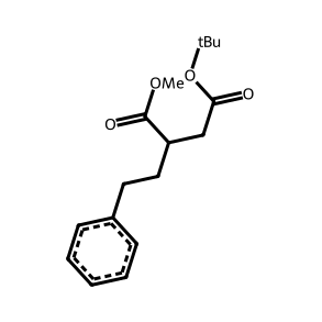 COC(=O)C(CCc1ccccc1)CC(=O)OC(C)(C)C